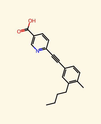 CCCCc1cc(C#Cc2ccc(C(=O)O)cn2)ccc1C